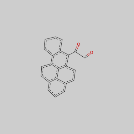 O=CC(=O)c1c2ccccc2c2ccc3cccc4ccc1c2c43